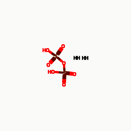 O=S(=O)(O)OS(=O)(=O)O.[HH].[HH]